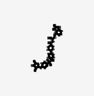 O=C1NC(=O)C(Cc2ccc(S(=O)(=O)Nc3ccc(N4CCC(NC[C@H](O)COc5cccc6[nH]c(=O)[nH]c56)CC4)cc3)cc2)S1